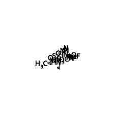 C[C@@H]1C[C@@H]1C(=O)Nc1sc2c(c1C(=O)NCC1CC1)C[C@@H](n1cnnc1Nc1cc(OC(F)F)nn1C)CC2